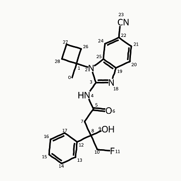 CC1(n2c(NC(=O)CC(O)(CF)c3ccccc3)nc3ccc(C#N)cc32)CCC1